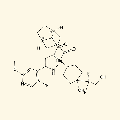 COc1cc(-c2cc(C(=O)N3[C@@H]4CC[C@H]3CC(C(=O)NC3CCC(O)(C(F)(F)CO)CC3)C4)n[nH]2)c(F)cn1